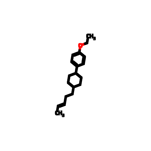 CC=CCCC1CCC(c2ccc(OCC)cc2)CC1